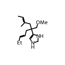 C/C=C(\C)CC(C/C=C/CC)(COC)C1=CNCN1